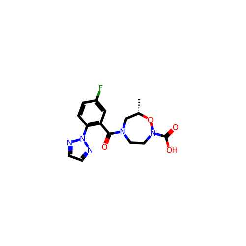 C[C@H]1CN(C(=O)c2cc(F)ccc2-n2nccn2)CCN(C(=O)O)O1